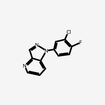 Fc1ccc(-n2ncc3ncccc32)cc1Cl